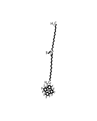 CCCCCCCCCCCCCCCCCC[NH+](CCF)CCCCCCCCCCCCCCCCCC.Fc1c(F)c(F)c([B-](c2c(F)c(F)c(F)c(F)c2F)(c2c(F)c(F)c(F)c(F)c2F)c2c(F)c(F)c(F)c(F)c2F)c(F)c1F